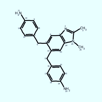 Cc1nc2cc(Cc3ccc(N)cc3)c(Cc3ccc(N)cc3)cc2n1C